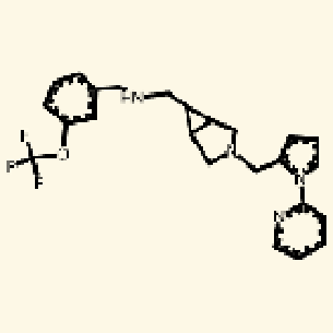 FC(F)(F)Oc1cccc(CNCC2C3CN(Cc4cccn4-c4ccccn4)CC23)c1